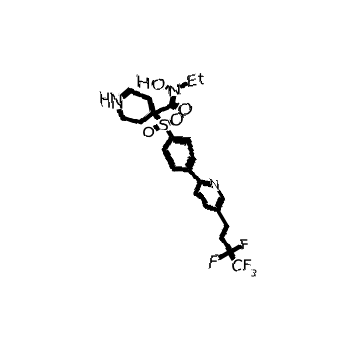 CCN(O)C(=O)C1(S(=O)(=O)c2ccc(-c3ccc(CCC(F)(F)C(F)(F)F)cn3)cc2)CCNCC1